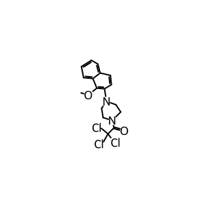 COc1c(N2CCN(C(=O)C(Cl)(Cl)Cl)CC2)ccc2ccccc12